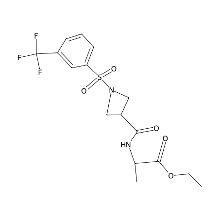 CCOC(=O)C(C)NC(=O)C1CN(S(=O)(=O)c2cccc(C(F)(F)F)c2)C1